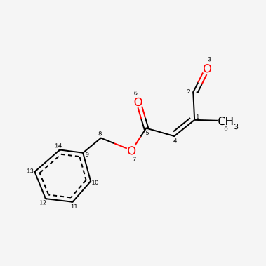 CC([C]=O)=CC(=O)OCc1ccccc1